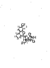 CC(C)CCC1(CNC(=O)c2ccccc2-c2ccc(C(F)(F)F)cc2)NC(=O)NC1=O